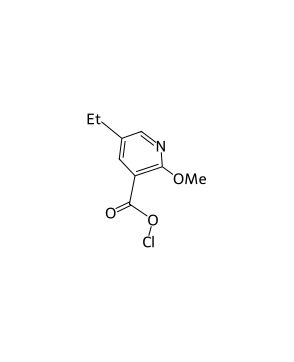 CCc1cnc(OC)c(C(=O)OCl)c1